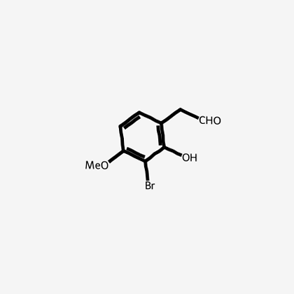 COc1ccc(CC=O)c(O)c1Br